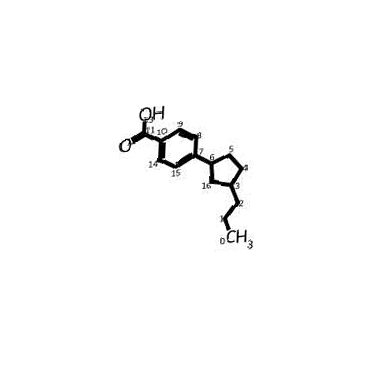 CCCC1CCC(c2ccc(C(=O)O)cc2)C1